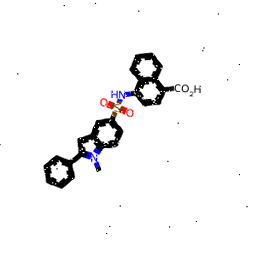 Cn1c(-c2ccccc2)cc2cc(S(=O)(=O)Nc3ccc(C(=O)O)c4ccccc34)ccc21